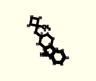 CC1(CN2CCc3c([nH]c4ccccc34)C2)CCC1